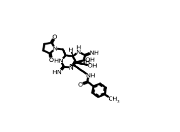 Cc1ccc(C(=O)NC2CN3C(=N)NC(CN4C(=O)CCC4=O)[C@@H]4NC(=N)N[C@@]43C2(O)O)cc1